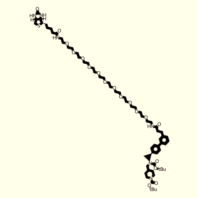 CC(C)(C)OC(=O)N1CCC(CN(C(=O)OC(C)(C)C)[C@@H]2C[C@H]2c2ccc(-c3cccc(CCC(=O)NCCOCCOCCOCCOCCOCCOCCOCCOCCOCCOCCOCCNC(=O)CCCC[C@@H]4SC[C@@H]5NC(=O)N[C@@H]54)c3)cc2)CC1